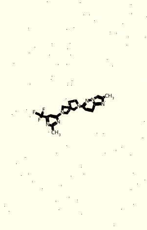 Cc1cn2nc(N3CCC4(CN(c5cc(C(F)(F)F)nc(C)n5)C4)C3)ccc2n1